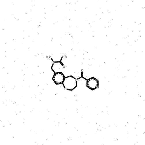 CC(=O)N(C)Cc1ccc2c(c1)CN(C(=O)c1ccncc1)CCO2